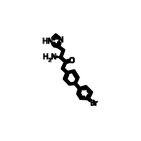 N[C@@H](Cc1c[nH]cn1)C(=O)CC1=CCC(c2ccc(Br)cc2)C=C1